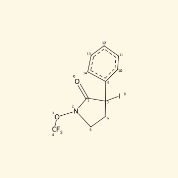 O=C1N(OC(F)(F)F)CCC1(I)c1ccccc1